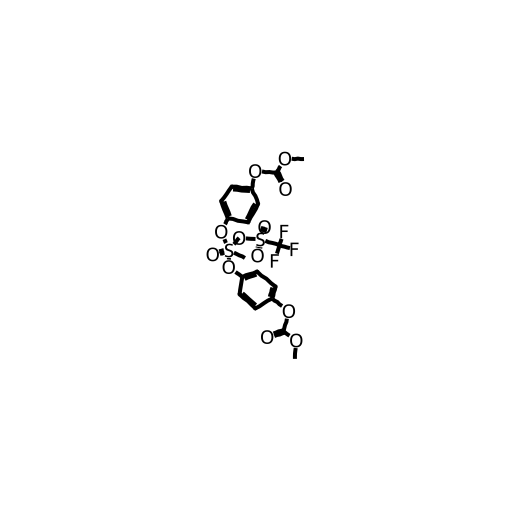 COC(=O)Oc1ccc(OS(C)(=O)(Oc2ccc(OC(=O)OC)cc2)OS(=O)(=O)C(F)(F)F)cc1